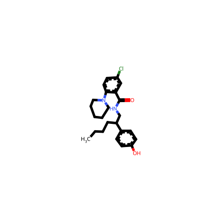 CCCCC(CNC(=O)c1cc(Cl)ccc1N1CCCCC1)c1ccc(O)cc1